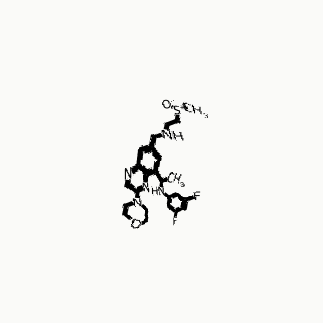 CC(Nc1cc(F)cc(F)c1)c1cc(CNCC[S+](C)[O-])cc2ncc(N3CCOCC3)nc12